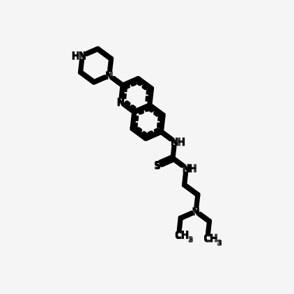 CCN(CC)CCNC(=S)Nc1ccc2nc(N3CCNCC3)ccc2c1